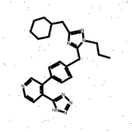 CCCn1nc(CC2CCCCC2)nc1Cc1ccc(-c2cnccc2-c2nnn[nH]2)cc1